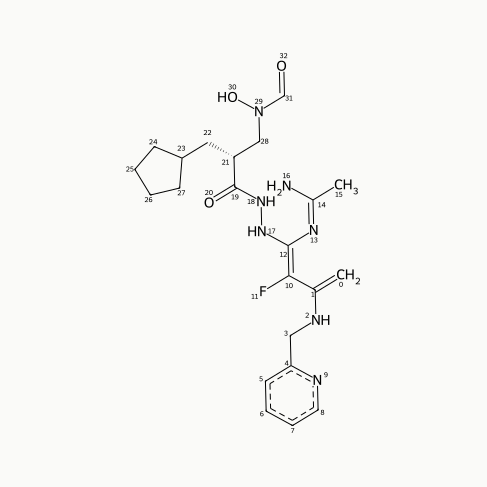 C=C(NCc1ccccn1)/C(F)=C(\N=C(\C)N)NNC(=O)[C@H](CC1CCCC1)CN(O)C=O